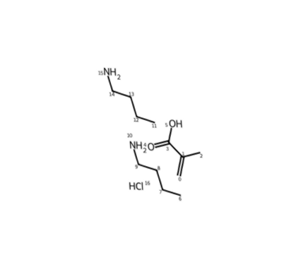 C=C(C)C(=O)O.CCCCN.CCCCN.Cl